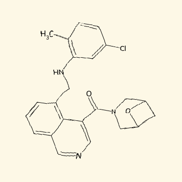 Cc1ccc(Cl)cc1NCc1cccc2cncc(C(=O)N3CC4CC(C3)O4)c12